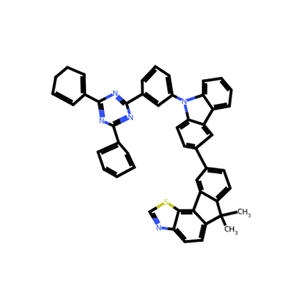 CC1(C)c2ccc(-c3ccc4c(c3)c3ccccc3n4-c3cccc(-c4nc(C5=CCCC=C5)nc(-c5ccccc5)n4)c3)cc2-c2c1ccc1ncsc21